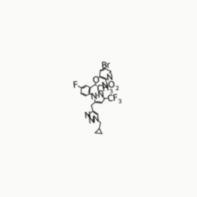 CC(Oc1cc(Br)cnc1[N+](=O)[O-])c1cc(F)ccc1-n1nc(C(F)(F)F)cc1Cc1cn(CC2CC2)nn1